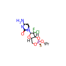 CC(C)O[P@@]1(=S)OC[C@H]2O[C@@H](n3ccc(N)nc3=O)[C@](F)(Cl)[C@@H]2O1